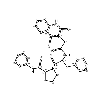 O=C(Cn1c(=O)[nH]c2ccccc2c1=O)NC(Cc1ccccc1)C(=O)N1CCC[C@H]1C(=O)Nc1ccccc1